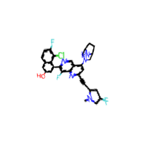 CN1CC(F)CC1C#Cc1cc(N2CC3CCC(C2)N3)c2cnc(-c3cc(O)cc4ccc(F)c(Cl)c34)c(F)c2n1